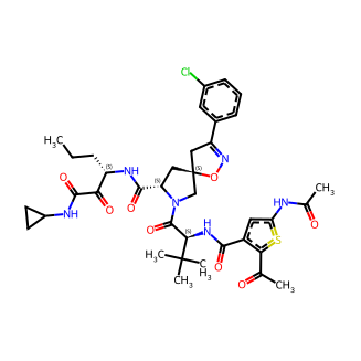 CCC[C@H](NC(=O)[C@@H]1C[C@]2(CC(c3cccc(Cl)c3)=NO2)CN1C(=O)[C@@H](NC(=O)c1cc(NC(C)=O)sc1C(C)=O)C(C)(C)C)C(=O)C(=O)NC1CC1